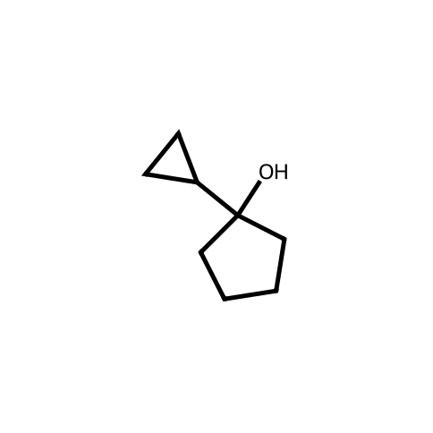 OC1(C2CC2)CCCC1